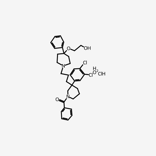 Cl.O.O=C(c1ccccc1)N1CCCC(CCCN2CCC(OCCO)(c3ccccc3)CC2)(c2ccc(Cl)c(Cl)c2)C1